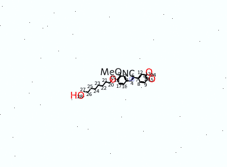 COc1cc(/C=C(\C#N)c2ccc3c(c2)OCO3)ccc1OCCCCCCCCO